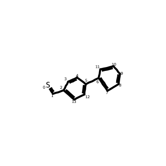 S=Cc1ccc(-c2ccccc2)cc1